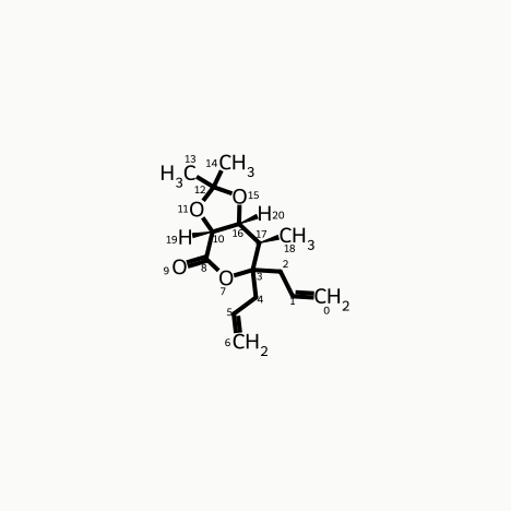 C=CCC1(CC=C)OC(=O)[C@@H]2OC(C)(C)O[C@@H]2[C@H]1C